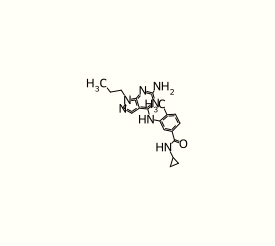 CCCn1ncc2c(Nc3cc(C(=O)NC4CC4)ccc3C)nc(N)nc21